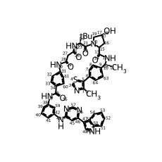 Cc1ncsc1-c1ccc([C@H](C)NC(=O)C2C[C@@H](O)CN2C(=O)[C@@H](NC(=O)CC(=O)Nc2ccc(C(=O)Nc3cccc(Nc4cc(-c5c[nH]c6ccccc56)ncn4)c3)cc2)C(C)(C)C)cc1